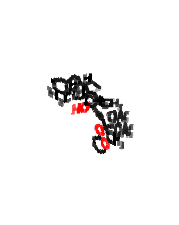 CC(=O)OC(OC(C)=O)C(C)(C#CC(O)[C@@H](C)[C@H]1CC[C@H]2[C@@H]3CC=C4CCCC[C@]4(C)[C@H]3CC[C@]12C)OC1CCCCO1